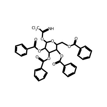 N=C(OC1OC(COC(=O)c2ccccc2)C(OC(=O)c2ccccc2)C(OC(=O)c2ccccc2)C1OC(=O)c1ccccc1)C(Cl)(Cl)Cl